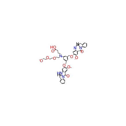 COCCOCCOCCN(CCCC(=O)O)c1cc(COc2cc3c(cc2OC)C(=O)N2c4ccccc4C[C@H]2C=N3)cc(COc2cc3c(cc2OC)C(=O)N2c4ccccc4C[C@H]2N3)c1